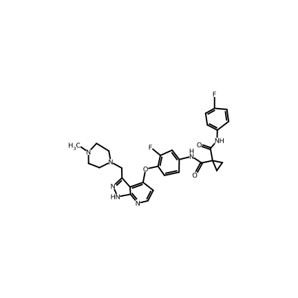 CN1CCN(Cc2n[nH]c3nccc(Oc4ccc(NC(=O)C5(C(=O)Nc6ccc(F)cc6)CC5)cc4F)c23)CC1